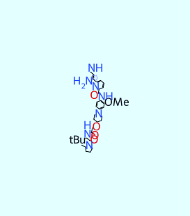 COc1cc(N2CCC(OCC(=O)NC(C(=O)N3CCCC3C)C(C)(C)C)CC2)ccc1NC(=O)c1cccc(/C(N)=C/C=N)n1